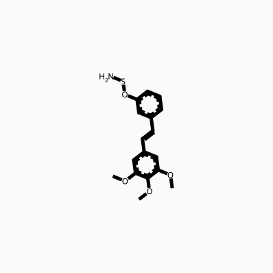 COc1cc(/C=C/c2cccc(OSN)c2)cc(OC)c1OC